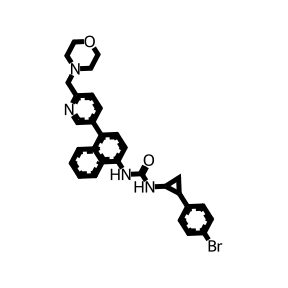 O=C(Nc1ccc(-c2ccc(CN3CCOCC3)nc2)c2ccccc12)NC1CC1c1ccc(Br)cc1